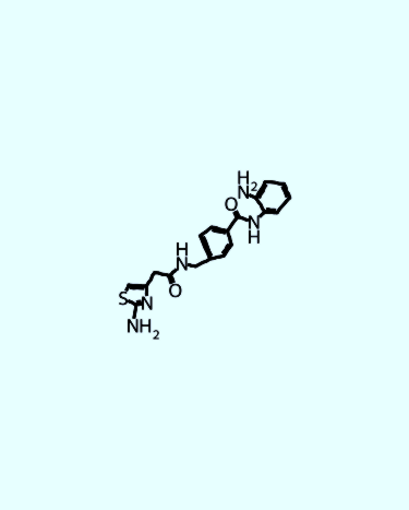 Nc1nc(CC(=O)NCc2ccc(C(=O)Nc3ccccc3N)cc2)cs1